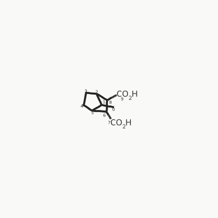 CC1C2CCC1C(C(=O)O)C2C(=O)O